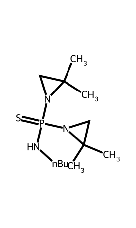 CCCCNP(=S)(N1CC1(C)C)N1CC1(C)C